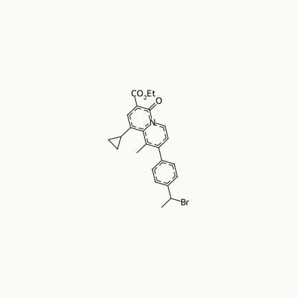 CCOC(=O)c1cc(C2CC2)c2c(C)c(-c3ccc(C(C)Br)cc3)ccn2c1=O